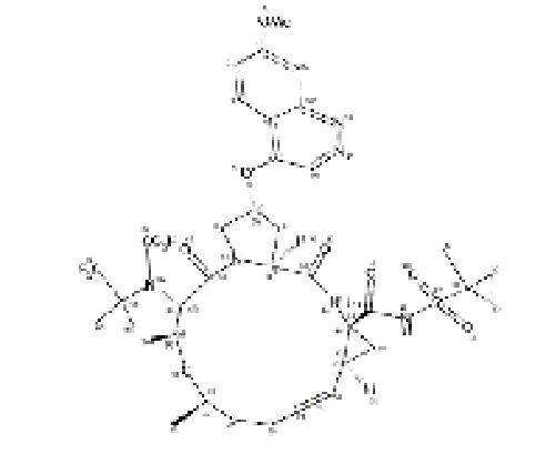 COc1ccc2c(O[C@@H]3C[C@H]4C(=O)N[C@]5(C(=O)NS(=O)(=O)C6(C)CC6)C[C@H]5/C=C\CC[C@@H](C)C[C@@H](C)[C@H](N(C(=O)O)C(C)(C)C(F)(F)F)C(=O)N4C3)cnnc2c1